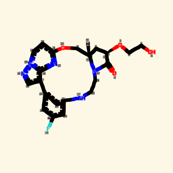 O=C1[C@H](OCCO)C[C@H]2COc3ccn4ncc(c4n3)-c3cc(F)cc(c3)NCCN12